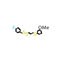 COc1cccc(SC/C=C/SSCc2ccc(F)cc2)c1